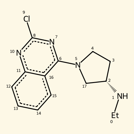 CCN[C@H]1CCN(c2nc(Cl)nc3ccccc23)C1